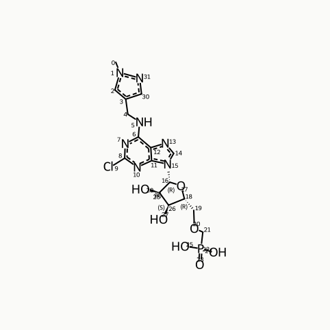 Cn1cc(CNc2nc(Cl)nc3c2ncn3[C@@H]2O[C@H](COCP(=O)(O)O)[C@@H](O)[C@H]2O)cn1